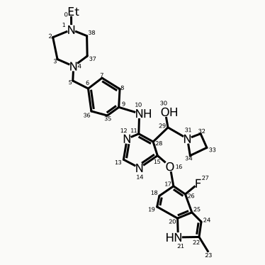 CCN1CCN(Cc2ccc(Nc3ncnc(Oc4ccc5[nH]c(C)cc5c4F)c3C(O)N3CCC3)cc2)CC1